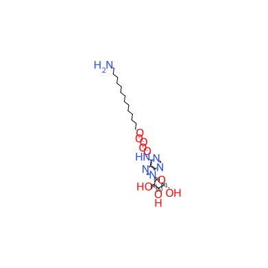 NCCCCCCCCCCCCCCOOOOONc1ncnc2c1ncn2[C@@H]1O[C@H](CO)[C@@H](O)[C@H]1O